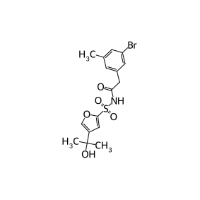 Cc1cc(Br)cc(CC(=O)NS(=O)(=O)c2cc(C(C)(C)O)co2)c1